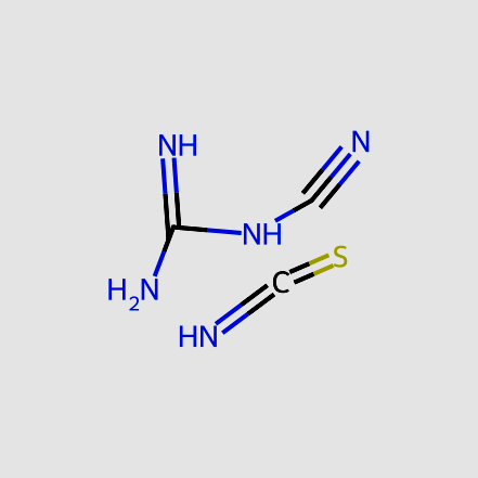 N#CNC(=N)N.N=C=S